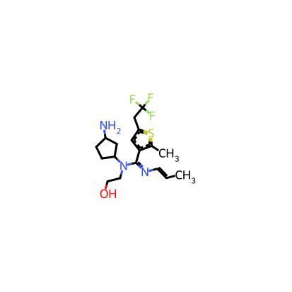 C/C=C/N=C(\c1cc(CC(F)(F)F)sc1C)N(CCO)C1CCC(N)C1